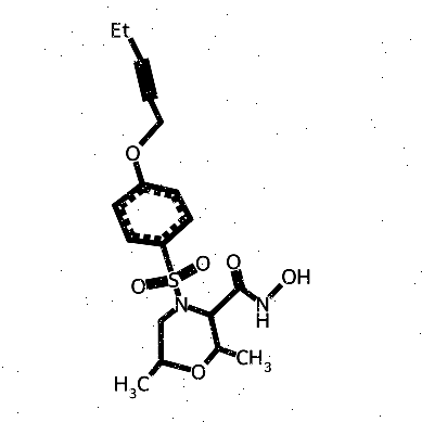 CCC#CCOc1ccc(S(=O)(=O)N2CC(C)OC(C)C2C(=O)NO)cc1